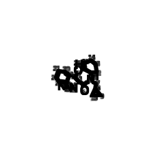 [N-]=[N+]=N[C@H]1C(=O)N(CC2CC2)[C@H]2CCCC[C@@H]2O[C@@H]1c1ccccc1